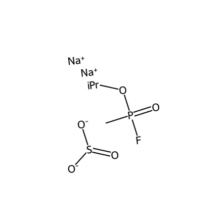 CC(C)OP(C)(=O)F.O=S([O-])[O-].[Na+].[Na+]